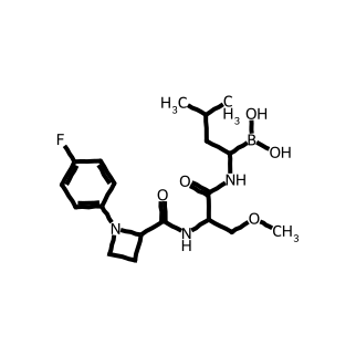 COCC(NC(=O)C1CCN1c1ccc(F)cc1)C(=O)NC(CC(C)C)B(O)O